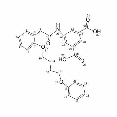 O=C(Cc1ccccc1OCCCCOc1ccccc1)Nc1cc(C(=O)O)cc(C(=O)O)c1